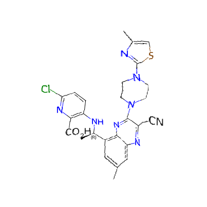 Cc1cc([C@@H](C)Nc2ccc(Cl)nc2C(=O)O)c2nc(N3CCN(c4nc(C)cs4)CC3)c(C#N)nc2c1